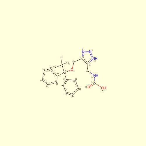 CC(C)(C)[Si](OCc1nn[nH]c1CNC(=O)O)(c1ccccc1)c1ccccc1